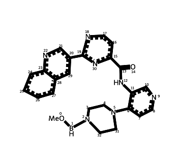 COBN1CCN(c2ccncc2NC(=O)c2ccnc(-c3cnc4ccccc4c3)n2)CC1